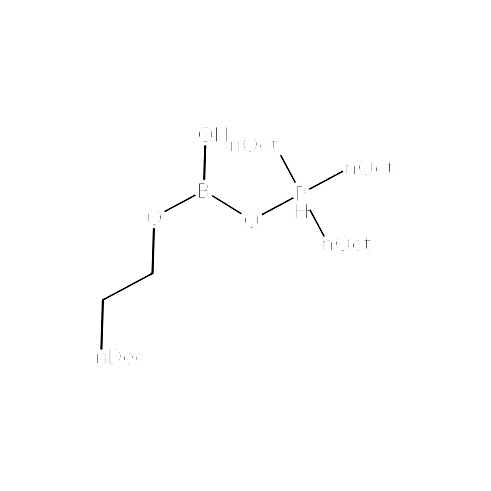 CCCCCCCCCCCCOB(O)O[PH](CCCCCCCC)(CCCCCCCC)CCCCCCCC